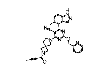 CC#CC(=O)N1CC2(CCN(c3nc(OCc4ccccn4)nc(-c4c(C)ccc5[nH]ncc45)c3C#N)C2)C1